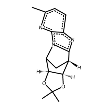 Cc1ccc2nc3n(c2n1)C1C[C@H]3[C@H]2OC(C)(C)O[C@@H]12